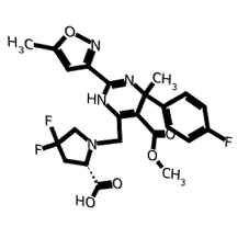 COC(=O)C1=C(CN2CC(F)(F)C[C@H]2C(=O)O)NC(c2cc(C)on2)=NC1(C)c1ccc(F)cc1